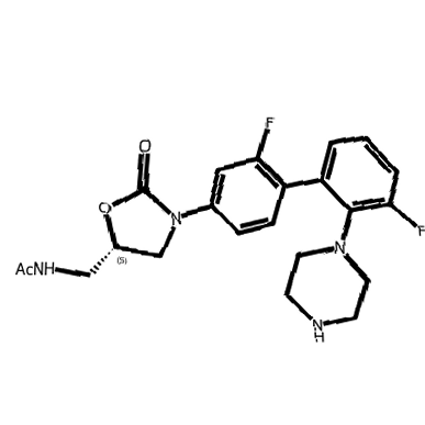 CC(=O)NC[C@H]1CN(c2ccc(-c3cccc(F)c3N3CCNCC3)c(F)c2)C(=O)O1